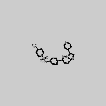 O=S(=O)(Nc1ccc(-c2ccc3ncc(-c4ccncc4)n3n2)cc1)c1ccc(C(F)(F)F)cc1